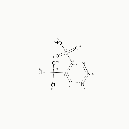 O=S(=O)(O)c1nnncc1C(Cl)(Cl)Cl